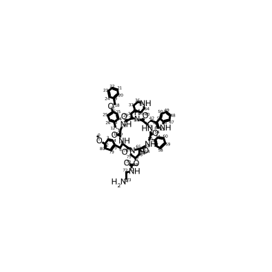 COc1ccc(CC2NC(=O)[C@H](Cc3ccc(OCc4ccccc4)cc3)NC(=O)C(CC3CCNCC3)NC(=O)[C@@H](Cc3c[nH]c4ccccc34)NC(=O)[C@H](c3ccccc3)NC(=O)[C@@H]3C[C@@H](OC(=O)NCCN)CN3C2=O)cc1